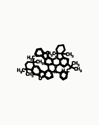 CC(C)(C)c1cc2c3c(c1)C1(C)CCCCC1(C)N3c1c3c(cc4c1oc1ccccc14)-c1c(ccc4oc5cc6c(cc5c14)C(C)(C)CCC6(C)C)N(c1ccccc1)B23